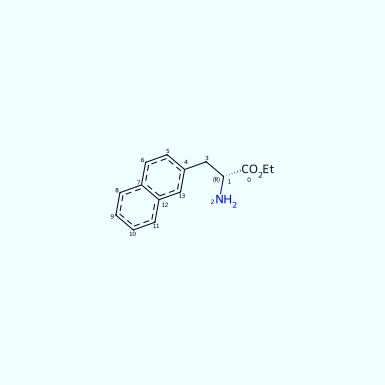 CCOC(=O)[C@H](N)Cc1ccc2ccccc2c1